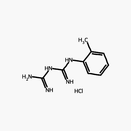 Cc1ccccc1NC(=N)NC(=N)N.Cl